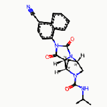 CC(C)NC(=O)N1C[C@@H]2C[C@H]1[C@@H]1C(=O)N(c3ccc(C#N)c4ccccc34)C(=O)N21